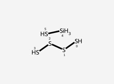 SSSS.[SiH3]S